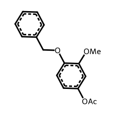 COc1cc(OC(C)=O)ccc1OCc1ccccc1